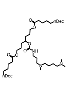 CCCCCCCCCCCCCCC(=O)OCCCC(CCCOC(=O)CCCCCCCCCCCCCC)OC(=O)NCCCN(C)CCCCN(C)C